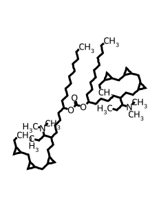 CCCCCCCCCCC(CCCCC(CCC1CC1CC1CC1CC1CC1CC)C(CC)N(C)C)OC(=O)OC(CCCCCCCCCC)CCCCC(CCC1CC1CC1CC1CC1CC1CC)C(CC)N(C)C